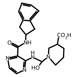 O=C(NC1Cc2ccccc2C1)c1nccnc1NC(O)N1CCCC(C(=O)O)C1